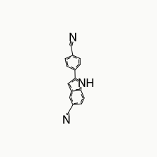 N#Cc1ccc(-c2cc3cc(C#N)ccc3[nH]2)cc1